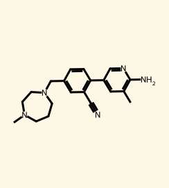 Cc1cc(-c2ccc(CN3CCCN(C)CC3)cc2C#N)cnc1N